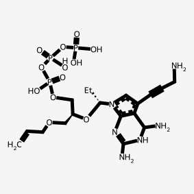 C=CCOC[C@@H](COP(=O)(O)OP(=O)(O)OP(=O)(O)O)O[C@H](CC)n1cc(C#CCN)c2c1N=C(N)NC2N